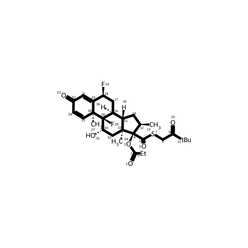 CCC(=O)O[C@]1(C(=O)SCC(=O)C(C)(C)C)[C@H](C)C[C@H]2[C@@H]3C[C@H](F)C4=CC(=O)C=C[C@]4(C)[C@@]3(F)[C@@H](O)C[C@@]21C